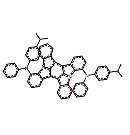 CC(C)c1ccc(N(c2ccccc2)c2cccc3c4c5c6ccccc6n6c7c(N(c8ccccc8)c8ccc(C(C)C)cc8)cccc7c(c7c8ccccc8n(c23)c74)c56)cc1